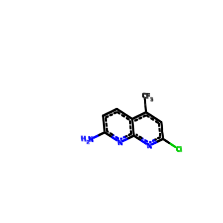 Nc1ccc2c(C(F)(F)F)cc(Cl)nc2n1